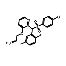 C=CCOc1cccnc1C(c1cc(F)ccc1F)S(=O)(=O)c1ccc(Cl)cc1